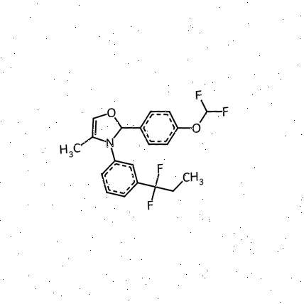 CCC(F)(F)c1cccc(N2C(C)=COC2c2ccc(OC(F)F)cc2)c1